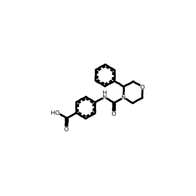 O=C(O)c1ccc(NC(=O)N2CCOCC2c2ccccc2)cc1